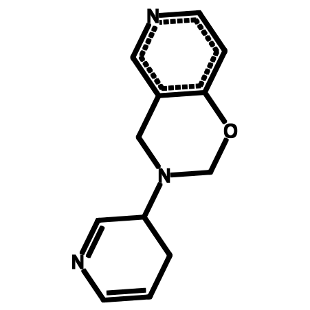 C1=CN=CC(N2COc3ccncc3C2)C1